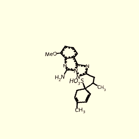 COc1cccc2c1nc(N)n1nc(CC(C)C3(S(=O)(=O)O)C=CC(C)=CC3)nc21